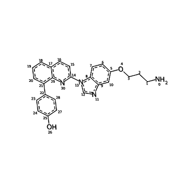 NCCCOc1ccc2c(c1)ncn2-c1ccc2cccc(-c3ccc(O)cc3)c2n1